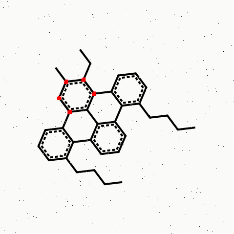 CCCCc1cccc(CCCC)c1-c1[c]ccc(-c2c(CCCC)cccc2CCCC)c1-c1ccccc1